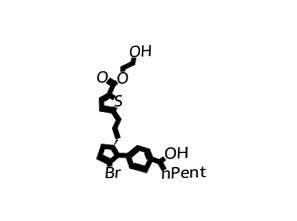 CCCCCC(O)c1ccc(C2C(Br)=CC[C@@H]2CCCc2ccc(C(=O)OCCO)s2)cc1